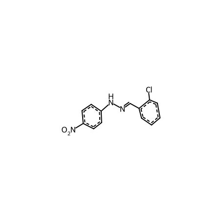 O=[N+]([O-])c1ccc(N/N=C/c2ccccc2Cl)cc1